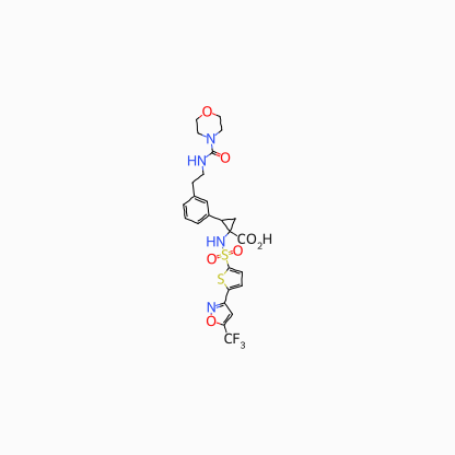 O=C(NCCc1cccc(C2CC2(NS(=O)(=O)c2ccc(-c3cc(C(F)(F)F)on3)s2)C(=O)O)c1)N1CCOCC1